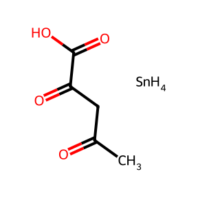 CC(=O)CC(=O)C(=O)O.[SnH4]